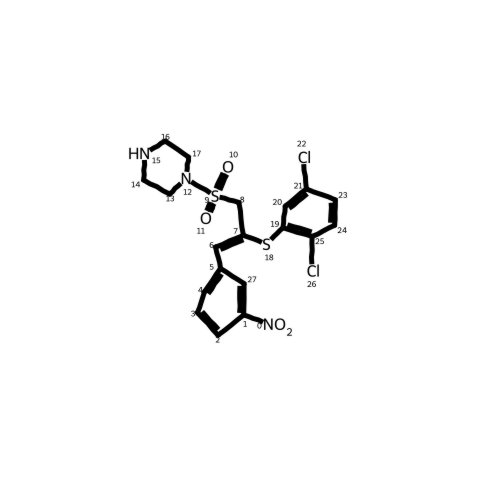 O=[N+]([O-])c1cccc(C=C(CS(=O)(=O)N2CCNCC2)Sc2cc(Cl)ccc2Cl)c1